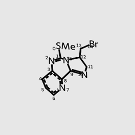 CSC1=Nc2cccnc2C2=NCC(CBr)N12